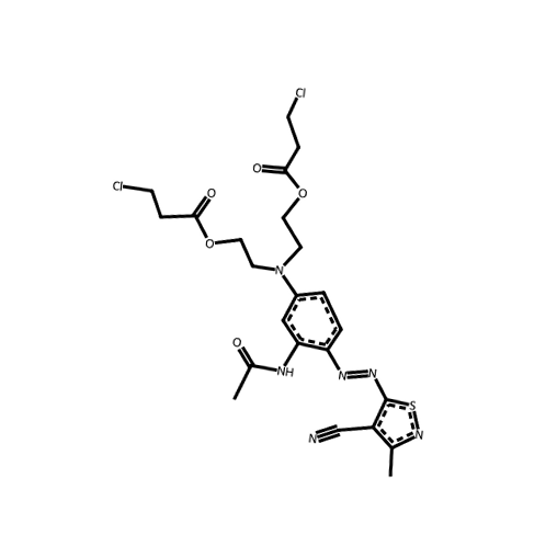 CC(=O)Nc1cc(N(CCOC(=O)CCCl)CCOC(=O)CCCl)ccc1N=Nc1snc(C)c1C#N